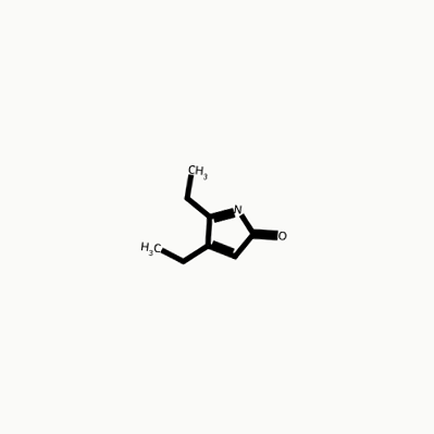 CCC1=CC(=O)N=C1CC